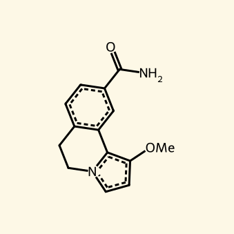 COc1ccn2c1-c1cc(C(N)=O)ccc1CC2